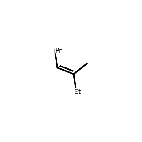 [CH2]CC(C)=CC(C)C